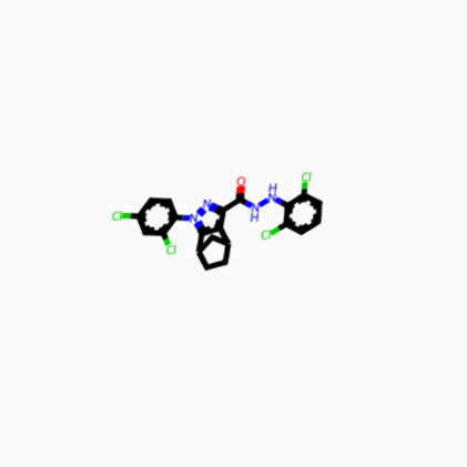 O=C(NNc1c(Cl)cccc1Cl)c1nn(-c2ccc(Cl)cc2Cl)c2c1C1CCC2C1